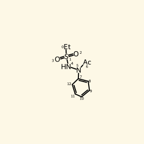 CCS(=O)(=O)NN(C(C)=O)c1ccccc1